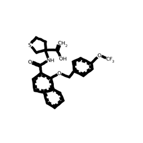 C=C(O)C1(NC(=O)c2ccc3ccccc3c2OCc2ccc(OC(F)(F)F)cc2)CCSC1